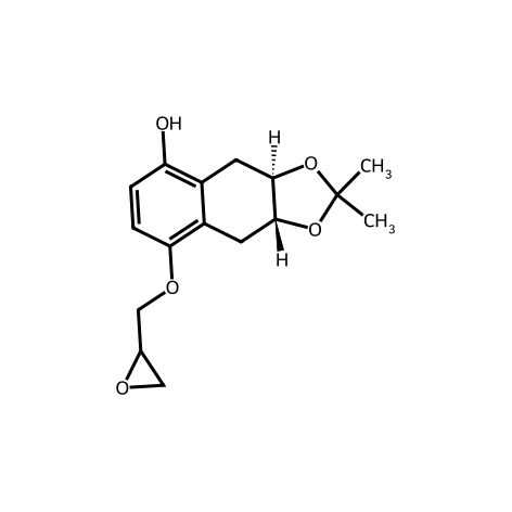 CC1(C)O[C@@H]2Cc3c(O)ccc(OCC4CO4)c3C[C@H]2O1